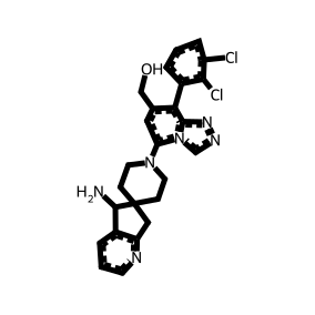 NC1c2cccnc2CC12CCN(c1cc(CO)c(-c3cccc(Cl)c3Cl)c3nncn13)CC2